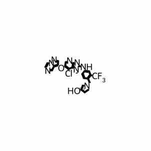 Cn1c(Nc2ccc(CN3CC[C@@H](O)C3)c(C(F)(F)F)c2)nc2ncc(Oc3cnn4ccncc34)c(Cl)c21